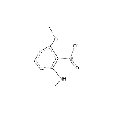 CNc1cccc(OC)c1[N+](=O)[O-]